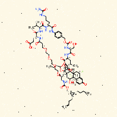 C=CCC[C@H]1[C@@H](CCCC)[C@H]1COC(=O)NCCOCCOCCOCCOCCC(=O)N[C@H](CCC(=O)O)C(=O)N[C@H](C(=O)N[C@@H](CCCNC(N)=O)C(=O)Nc1ccc(COC(=O)N[C@@H](CO)C(=O)N[C@@H](CC(C)C)C(=O)OCC(=O)[C@@]23OC(CCC)O[C@@H]2C[C@H]2[C@@H]4C[C@H](F)C5=CC(=O)C=C[C@]5(C)[C@@]4(F)[C@@H](O)C[C@@]23C)cc1)C(C)C